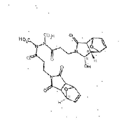 O=C1C2C3C=C[C@H](O3)C2C(=O)N1CCC(=O)N(C(=O)O)N(C(=O)O)C(=O)CCN1C(=O)C2C3C=CC(O3)[C@@H]2[C@@H]1O